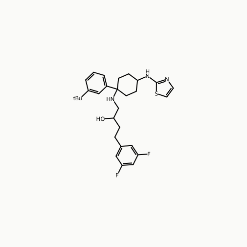 CC(C)(C)c1cccc(C2(NCC(O)CCc3cc(F)cc(F)c3)CCC(Nc3nccs3)CC2)c1